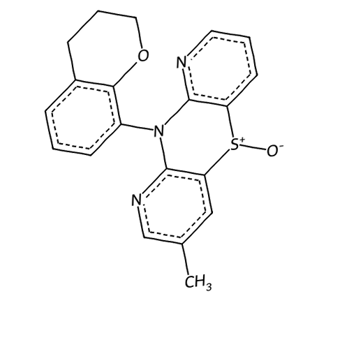 Cc1cnc2c(c1)[S+]([O-])c1cccnc1N2c1cccc2c1OCCC2